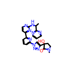 CC(Nc1nccc(-c2cccc(-n3cc(C4(O)CCN(C)C4=O)nn3)n2)n1)c1ncccn1